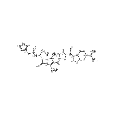 CC(NC(=O)Cn1cnnn1)[C@H]1C(=O)N2C(C(=O)O)=C(S[C@@H]3CN[C@H](C(=O)N4CCC5CN(C(=N)N)CCC54)C3)[C@H](C)[C@H]12